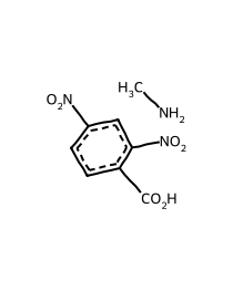 CN.O=C(O)c1ccc([N+](=O)[O-])cc1[N+](=O)[O-]